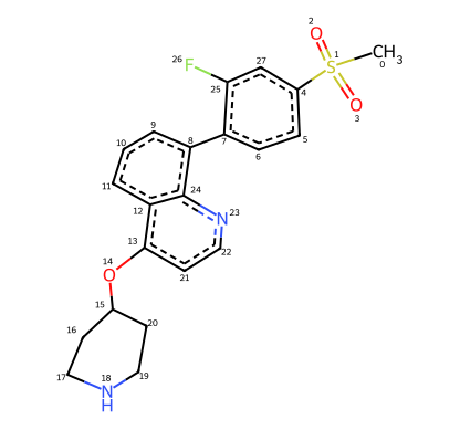 CS(=O)(=O)c1ccc(-c2cccc3c(OC4CCNCC4)ccnc23)c(F)c1